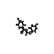 Cc1ccc(OC(C)OC(=O)c2ccc(C)cc2)cc1